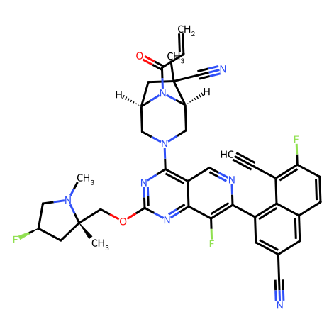 C#Cc1c(F)ccc2cc(C#N)cc(-c3ncc4c(N5C[C@H]6CC(C)(C#N)[C@@H](C5)N6C(=O)C=C)nc(OC[C@]5(C)C[C@@H](F)CN5C)nc4c3F)c12